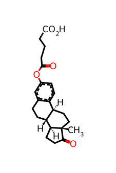 C[C@]12CC[C@@H]3c4ccc(OC(=O)CCCC(=O)O)cc4CC[C@H]3[C@@H]1CCC2=O